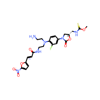 COC(=S)NC[C@H]1CN(c2ccc(N(CCN)CCNC(=O)/C=C/c3ccc([N+](=O)[O-])o3)c(F)c2)C(=O)O1